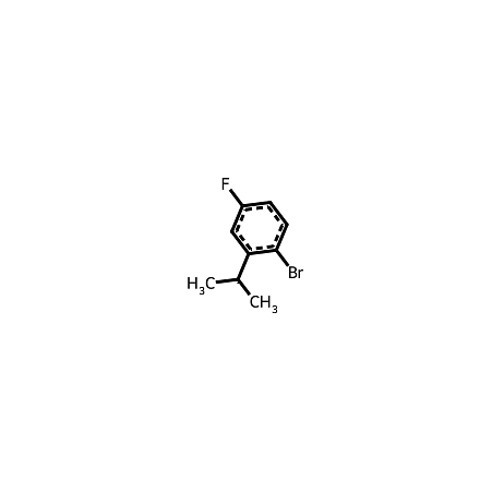 C[C](C)c1cc(F)ccc1Br